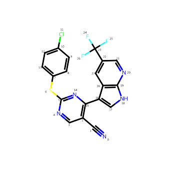 N#Cc1cnc(Sc2ccc(Cl)cc2)nc1-c1c[nH]c2ncc(C(F)(F)F)cc12